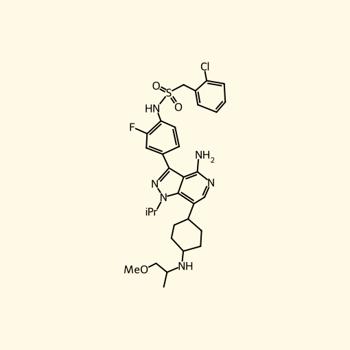 COCC(C)NC1CCC(c2cnc(N)c3c(-c4ccc(NS(=O)(=O)Cc5ccccc5Cl)c(F)c4)nn(C(C)C)c23)CC1